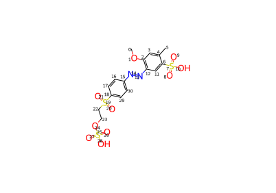 COc1cc(C)c(S(=O)(=O)O)cc1N=Nc1ccc(S(=O)(=O)CCOS(=O)(=O)O)cc1